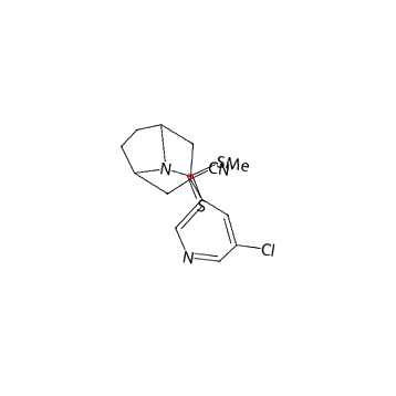 CSC(=S)N1C2CCC1CC(C#N)(c1cncc(Cl)c1)C2